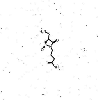 NSC1C[PH](=O)N(CCCC(N)=O)C1=O